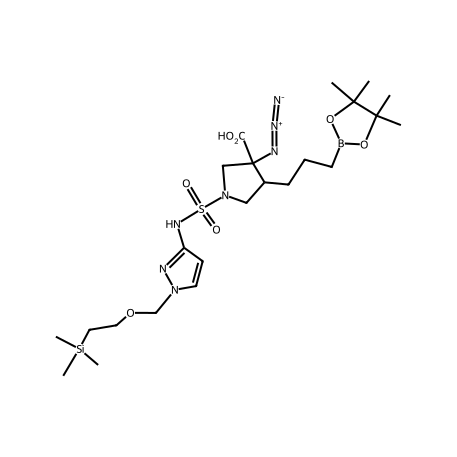 CC1(C)OB(CCCC2CN(S(=O)(=O)Nc3ccn(COCC[Si](C)(C)C)n3)CC2(N=[N+]=[N-])C(=O)O)OC1(C)C